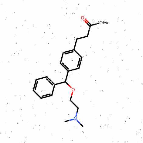 COC(=O)CCc1ccc(C(OCCN(C)C)c2ccccc2)cc1